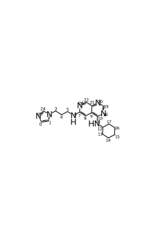 c1cn(CCCNc2cc3c(NC4CCCCC4)ncnc3cn2)cn1